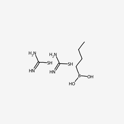 CCCCB(O)O.N=C(N)S.N=C(N)S